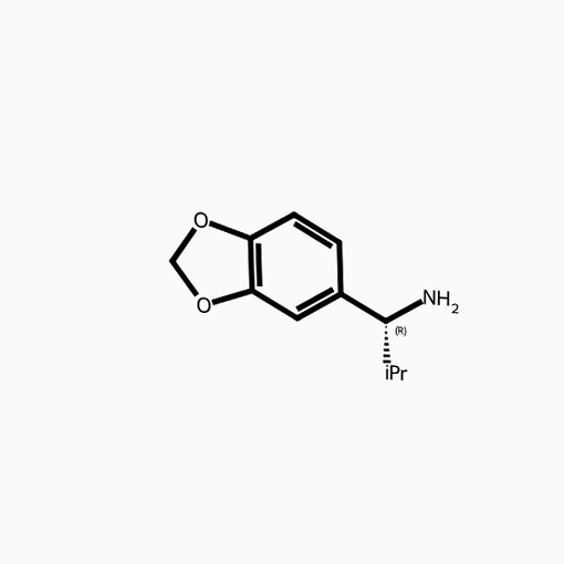 CC(C)[C@@H](N)c1ccc2c(c1)OCO2